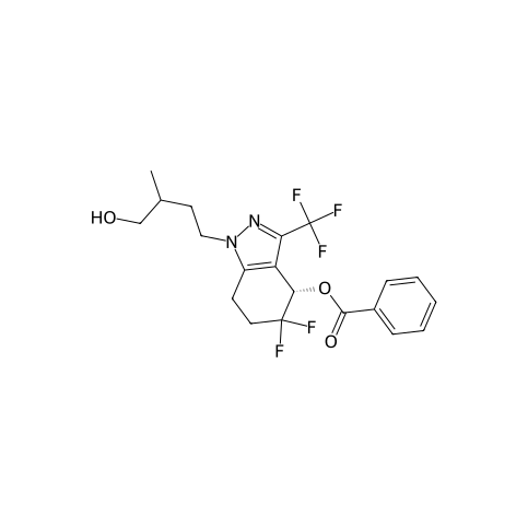 CC(CO)CCn1nc(C(F)(F)F)c2c1CCC(F)(F)[C@H]2OC(=O)c1ccccc1